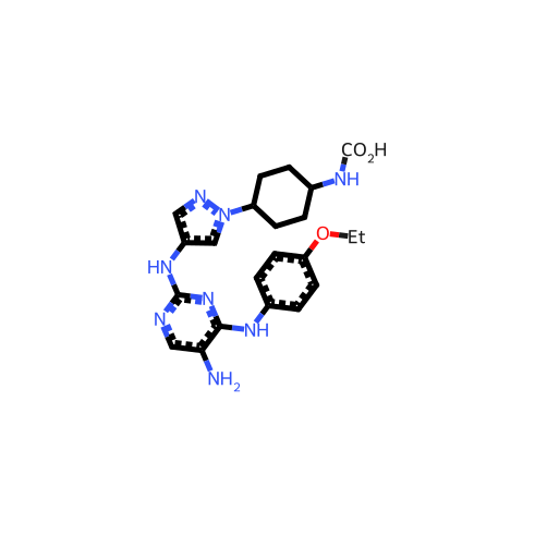 CCOc1ccc(Nc2nc(Nc3cnn(C4CCC(NC(=O)O)CC4)c3)ncc2N)cc1